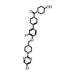 CCc1cnc(N2CCC(COc3ccc(C4=CCC(C(=O)N5CCC(O)CC5)CC4)cc3F)CC2)nc1